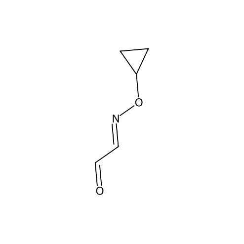 O=CC=NOC1CC1